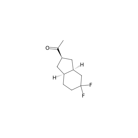 CC(=O)[C@@H]1C[C@@H]2CCC(F)(F)C[C@@H]2C1